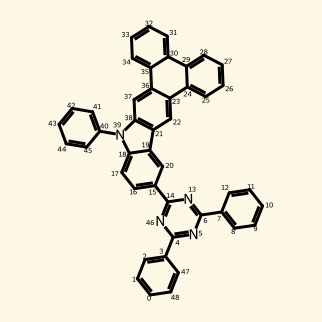 c1ccc(-c2nc(-c3ccccc3)nc(-c3ccc4c(c3)c3cc5c6ccccc6c6ccccc6c5cc3n4-c3ccccc3)n2)cc1